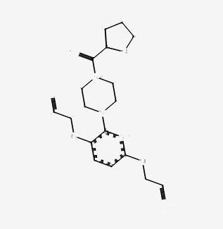 C=CCNc1ccc(NCC=C)c(N2CCN(C(=O)C3CCCN3)CC2)n1